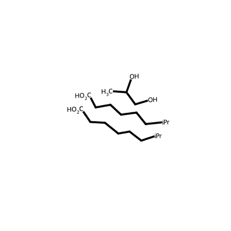 CC(C)CCCCCC(=O)O.CC(C)CCCCCC(=O)O.CC(O)CO